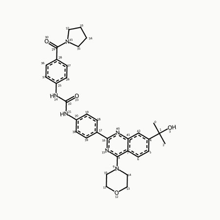 CC(C)(O)c1ccc2c(N3CCOCC3)nc(-c3ccc(NC(=O)Nc4ccc(C(=O)N5CCCC5)cc4)cc3)nc2c1